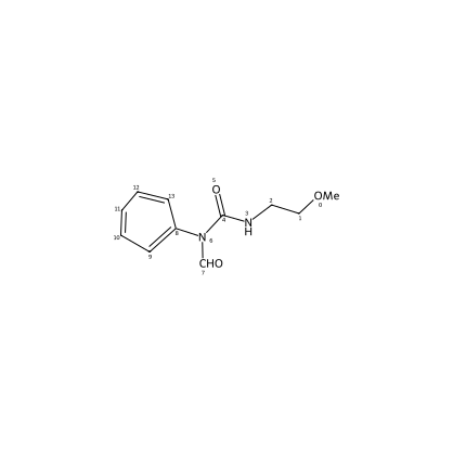 COCCNC(=O)N(C=O)c1ccccc1